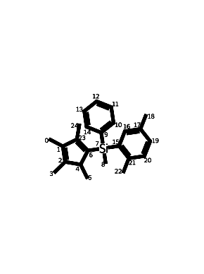 CC1=C(C)C(C)C([Si](C)(c2ccccc2)c2cc(C)ccc2C)=C1C